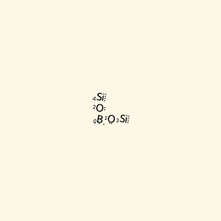 [B].[O].[O].[Si].[Si]